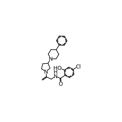 C=C(CNC(=O)c1ccc(Cl)cc1O)N1CCC(N2CCC(c3ccccc3)CC2)C1